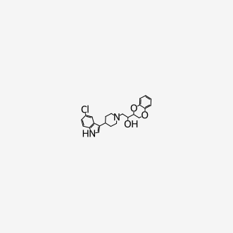 OC(CN1CCC(c2c[nH]c3ccc(Cl)cc23)CC1)C1COc2ccccc2O1